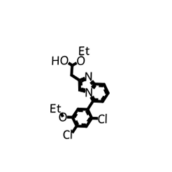 CCOc1cc(-c2cccc3nc(CC(O)OCC)cn23)c(Cl)cc1Cl